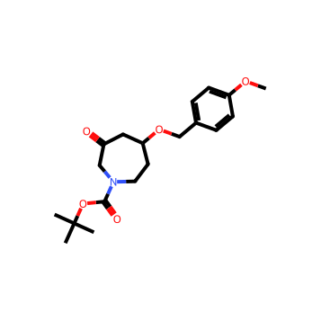 COc1ccc(COC2CCN(C(=O)OC(C)(C)C)CC(=O)C2)cc1